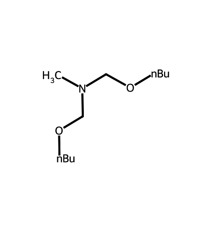 CCCCOCN(C)COCCCC